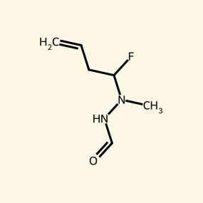 C=CCC(F)N(C)NC=O